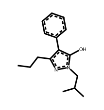 CCCc1nn(CC(C)C)c(O)c1-c1ccccc1